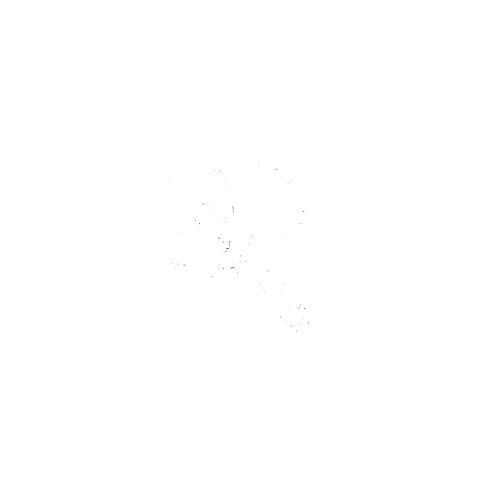 CC[C@H]1OC(=O)[C@H](C)[C@@H](O[C@H]2C[C@@](C)(OC)[C@@H](O)[C@H](C)O2)[C@H](C)[C@@H](O[C@@H]2O[C@H](C)C[C@H](N(C)CCc3cn(Cc4ccc(-c5nnn[nH]5)cc4)nn3)[C@H]2O)[C@](C)(OC)C[C@@H](C)C(=O)[C@H](C)[C@@H](O)[C@]1(C)O